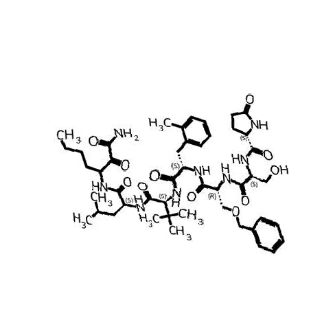 CCCCC(NC(=O)[C@H](CC(C)C)NC(=O)[C@@H](NC(=O)[C@H](Cc1ccccc1C)NC(=O)[C@@H](COCc1ccccc1)NC(=O)[C@H](CO)NC(=O)[C@@H]1CCC(=O)N1)C(C)(C)C)C(=O)C(N)=O